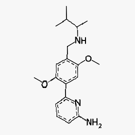 COc1cc(-c2cccc(N)n2)c(OC)cc1CNC(C)C(C)C